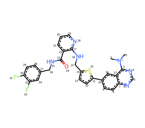 CN(C)c1ncnc2ccc(-c3ccc(CNc4ncccc4C(=O)NCc4ccc(F)c(F)c4)s3)cc12